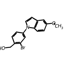 COc1ccc2c(ccn2-c2ccc(CO)c(Br)c2)c1